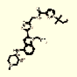 CN1CC[C@@H](Nc2cccc3c2cc(-c2noc(CNC(=O)c4ccn(C(C)(C)CF)n4)n2)n3CC(F)(F)F)[C@@H](F)C1